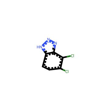 Clc1ccc2[nH]nnc2c1Cl